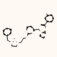 C=C(/N=c1/sccn1Cc1ccnc(NCCN2CCN(Cc3ccccc3)S2(=O)=O)n1)c1cccc(O)c1